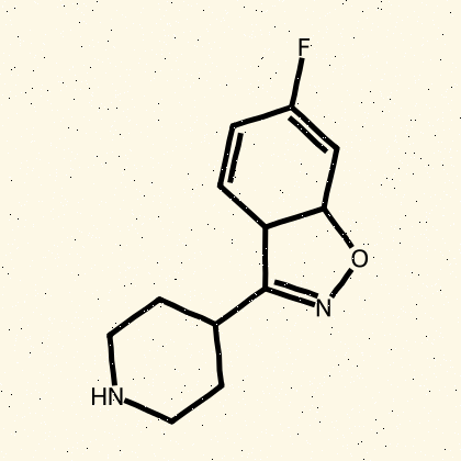 FC1=CC2ON=C(C3CCNCC3)C2C=C1